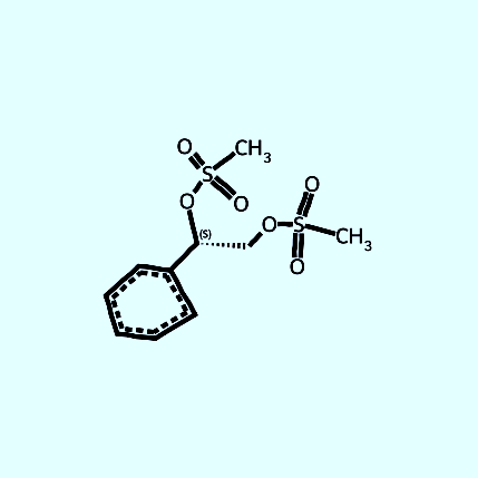 CS(=O)(=O)OC[C@@H](OS(C)(=O)=O)c1ccccc1